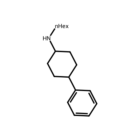 CCCCCCNC1CCC(c2ccccc2)CC1